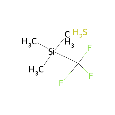 C[Si](C)(C)C(F)(F)F.S